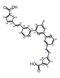 Cc1cc(-c2cc(/C=C/c3ccc(C(=O)O)s3)ccn2)nc(-c2cc(/C=C/c3ccc(C(=O)O)s3)ccn2)c1